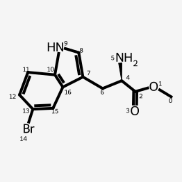 COC(=O)[C@H](N)Cc1c[nH]c2ccc(Br)cc12